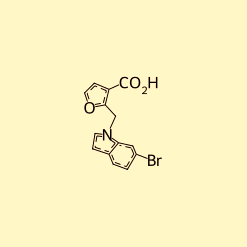 O=C(O)c1ccoc1Cn1ccc2ccc(Br)cc21